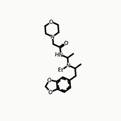 CCN(C(C)Cc1ccc2c(c1)OCO2)C(C)NC(=O)CN1CCOCC1